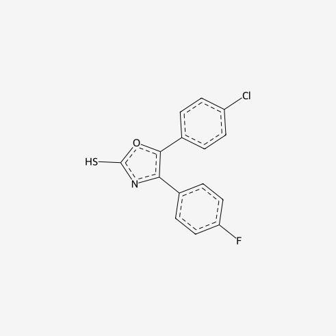 Fc1ccc(-c2nc(S)oc2-c2ccc(Cl)cc2)cc1